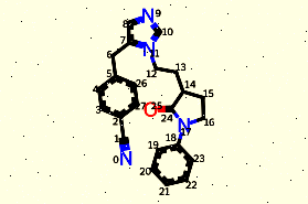 N#Cc1ccc(Cc2cncn2CCC2CCN(c3ccccc3)C2=O)cc1